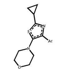 CC(=O)c1nc(C2CC2)sc1N1CCOCC1